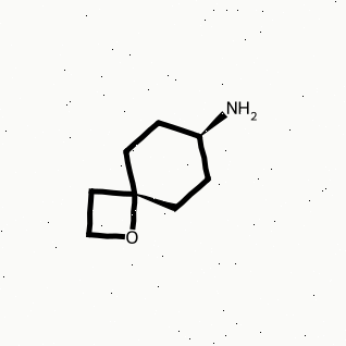 N[C@H]1CC[C@@]2(CCO2)CC1